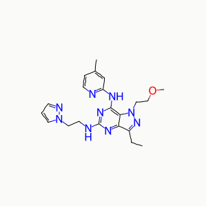 CCc1nn(CCOC)c2c(Nc3cc(C)ccn3)nc(NCCn3cccn3)nc12